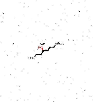 CCCCCCCCCC=C(O)CCC(=O)[O-].[Na+]